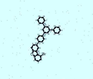 Brc1cccc2oc3ccc(-c4ccc(-c5cc(-c6ccccc6)cc(-c6ccccc6)c5)cc4)cc3c12